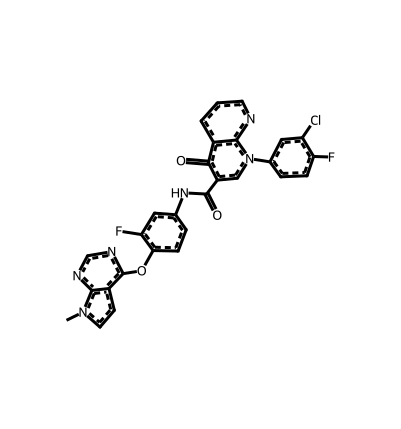 Cn1ccc2c(Oc3ccc(NC(=O)c4cn(-c5ccc(F)c(Cl)c5)c5ncccc5c4=O)cc3F)ncnc21